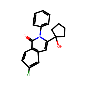 O=c1c2ccc(Cl)cc2cc(C2(O)CCCC2)n1-c1ccccc1